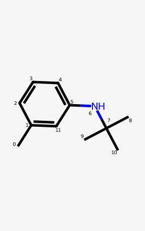 Cc1cccc(NC(C)(C)C)c1